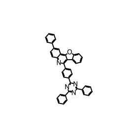 c1ccc(-c2ccc3nc(-c4ccc(-c5nc(-c6ccccc6)nc(-c6ccccc6)n5)cc4)c4c5ccccc5oc4c3c2)cc1